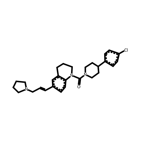 O=C(N1CCC(c2ccc(Cl)cc2)CC1)N1CCCc2cc(C=CCN3CCCC3)ccc21